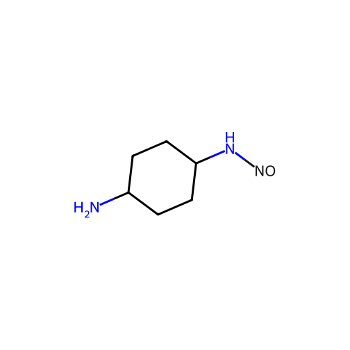 NC1CCC(NN=O)CC1